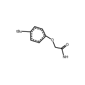 CC(C)(C)c1ccc(OCC([NH])=O)cc1